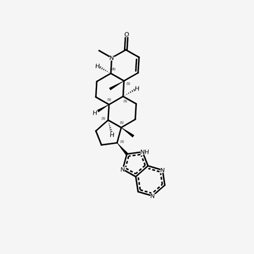 CN1C(=O)C=C[C@]2(C)[C@H]3CC[C@]4(C)[C@@H](c5nc6cncnc6[nH]5)CC[C@H]4[C@@H]3CC[C@@H]12